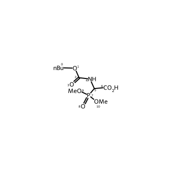 CCCCOC(=O)NC(C(=O)O)P(=O)(OC)OC